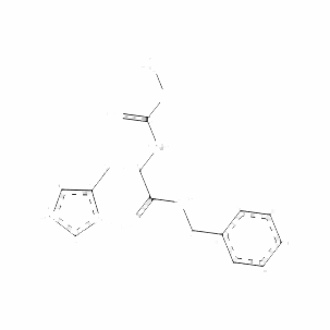 CC(C)(C)OC(=O)N[C@@H](Cc1c[nH]cn1)C(=O)OCc1ccccc1